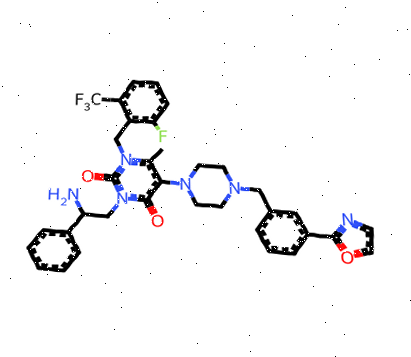 Cc1c(N2CCN(Cc3cccc(-c4ncco4)c3)CC2)c(=O)n(CC(N)c2ccccc2)c(=O)n1Cc1c(F)cccc1C(F)(F)F